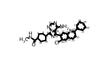 CNC(=O)C1CCC(c2nc(-c3cc4nc(-c5ccccc5)ccc4cc3Cl)c3c(N)ncnn23)CC1